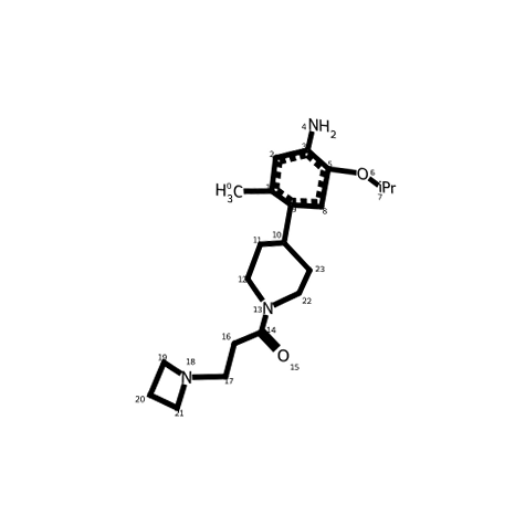 Cc1cc(N)c(OC(C)C)cc1C1CCN(C(=O)CCN2CCC2)CC1